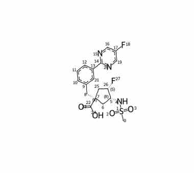 CS(=O)(=O)N[C@@H]1C[C@@](Cc2cccc(-c3ncc(F)cn3)c2)(C(=O)O)C[C@@H]1F